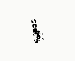 CC1(C)c2cc(N3CCC(N4CCOCC4)CC3)ccc2C(=O)c2c1[nH]c1c2=CCC(C#N)(OC2CCOC2)C=1